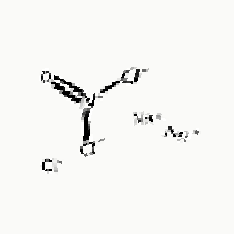 O=[N+]([O-])[O-].[Ag+].[Cl-].[Na+]